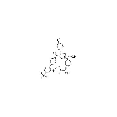 COc1ccc([C@@H]2CN(C3(CO)CCOCC3)C[C@H]2C(=O)N2CCC(c3ccc(C(F)(F)F)cc3N3CCC(C(=O)O)CC3)CC2)cc1